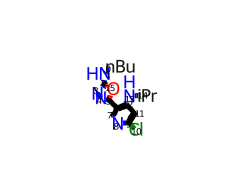 CCCCNc1nnc(-c2cnc(Cl)cc2NC(C)C)o1